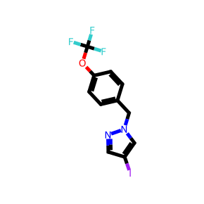 FC(F)(F)Oc1ccc(Cn2cc(I)cn2)cc1